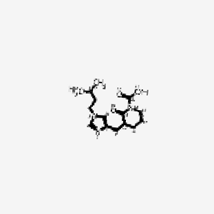 CC(C)CCn1cnc(CC2CCCN(C(=O)O)C2=O)c1